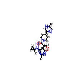 Cc1cnc(C2CCN(C(=O)c3coc4nc(C)nc(NC5(C)CC5)c34)CC2)cn1